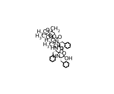 C=C(COC(=O)N([C@@H](Cc1ccccc1)C(=O)N[C@@H](Cc1ccccc1)C(=O)N[C@@H](Cc1ccccc1)C(=O)O)C(C)(C)C)S(=O)(=O)C(C)(C)C